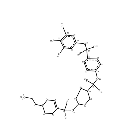 CCCC1CC=C(C(F)(F)OC2CCC(C(F)(F)Oc3ccc(C(F)(F)Oc4cc(F)c(F)c(F)c4)cc3)CC2)CC1